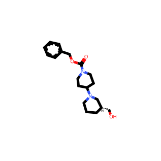 O=C(OCc1ccccc1)N1CCC(N2CCC[C@@H](CO)C2)CC1